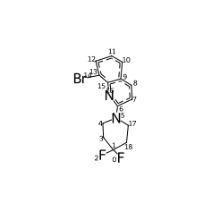 FC1(F)CCN(c2ccc3cccc(Br)c3n2)CC1